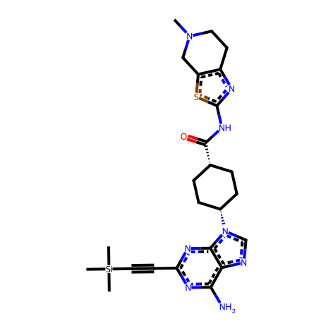 CN1CCc2nc(NC(=O)[C@H]3CC[C@@H](n4cnc5c(N)nc(C#C[Si](C)(C)C)nc54)CC3)sc2C1